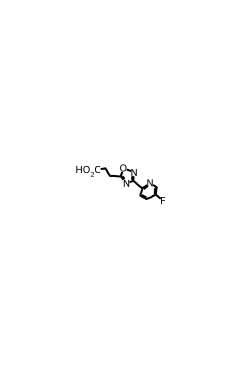 O=C(O)CCc1nc(-c2ccc(F)cn2)no1